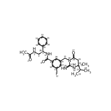 CC(=O)NC[C@H](NC(=O)c1cc(F)cc(CN2C(=N)N[C@](C)(C(C)C)CC2=O)c1)c1ccccc1